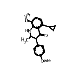 CCCOc1ccc(C2CC2)c2c1NC(C)C(c1ccc(OC)cc1)C2=O